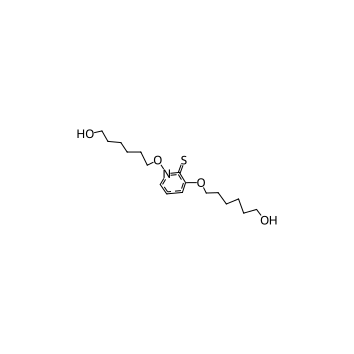 OCCCCCCOc1cccn(OCCCCCCO)c1=S